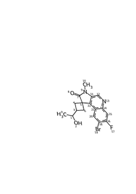 CC(O)C1CC2(C1)C(=O)N(C)c1cnc3cc(F)c(Br)cc3c12